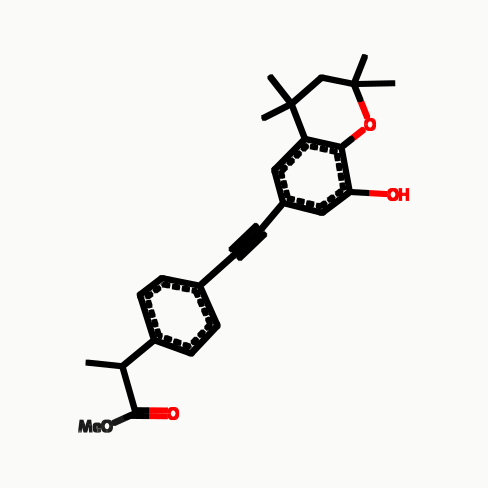 COC(=O)C(C)c1ccc(C#Cc2cc(O)c3c(c2)C(C)(C)CC(C)(C)O3)cc1